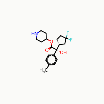 Cc1ccc([C@@](O)(C(=O)OC2CCNCC2)[C@@H]2CCC(F)(F)C2)cc1